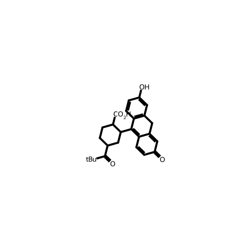 CC(C)(C)C(=O)C1CCC(C(=O)O)C(C2=C3C=CC(=O)C=C3Cc3cc(O)ccc32)C1